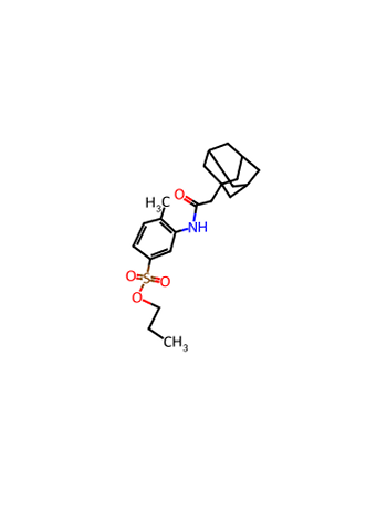 CCCOS(=O)(=O)c1ccc(C)c(NC(=O)CC23CC4CC(CC(C4)C2)C3)c1